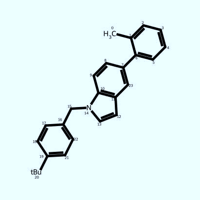 Cc1ccccc1-c1ccc2c(ccn2Cc2ccc(C(C)(C)C)cc2)c1